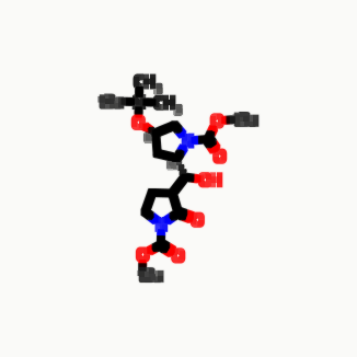 CC(C)(C)OC(=O)N1CCC(C(O)[C@@H]2C[C@@H](O[Si](C)(C)C(C)(C)C)CN2C(=O)OC(C)(C)C)C1=O